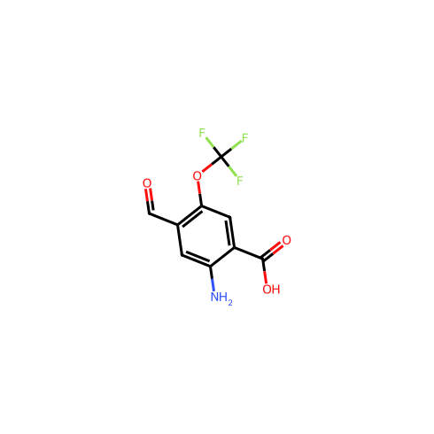 Nc1cc(C=O)c(OC(F)(F)F)cc1C(=O)O